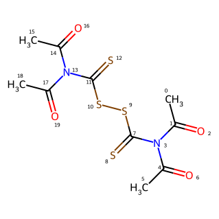 CC(=O)N(C(C)=O)C(=S)SSC(=S)N(C(C)=O)C(C)=O